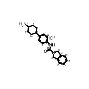 Cl.NC1CCC(c2ccc(NC(=O)N3Cc4ccccc4C3)cc2)CC1